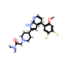 COc1cc(F)c(F)cc1-c1ccnc2[nH]c(C3CCN(CC(=O)N(C)C)CC3)cc12